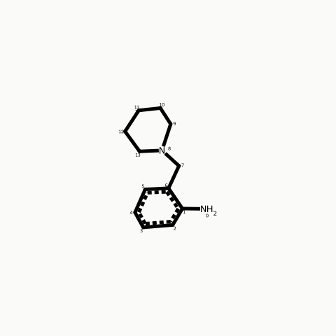 Nc1ccccc1CN1CC[CH]CC1